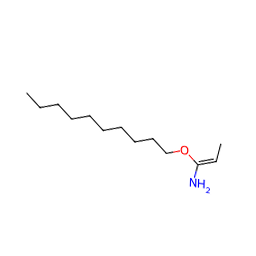 CC=C(N)OCCCCCCCCCC